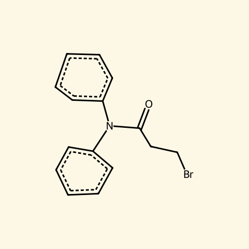 O=C(CCBr)N(c1ccccc1)c1ccccc1